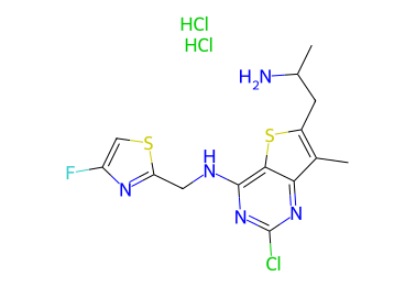 Cc1c(CC(C)N)sc2c(NCc3nc(F)cs3)nc(Cl)nc12.Cl.Cl